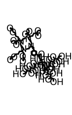 COC(=O)CCC(C(=O)OC)N1CCN(Cc2cccc(C(=O)NCC(CNC(=O)C(O)C(O)C(O)C(O)CO)(CNC(=O)C(O)C(O)C(O)C(O)CO)CNC(=O)C(O)C(O)C(O)C(O)CO)c2)CCN(C(CCCOC=O)COC=O)CCN(C(CCCOC=O)C(=O)OC)CC1